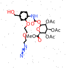 COC(=O)[C@H]1O[C@@H](OC(=O)Nc2ccc(CO)cc2OCCOCCN=[N+]=[N-])[C@H](OC(C)=O)[C@@H](OC(C)=O)[C@@H]1OC(C)=O